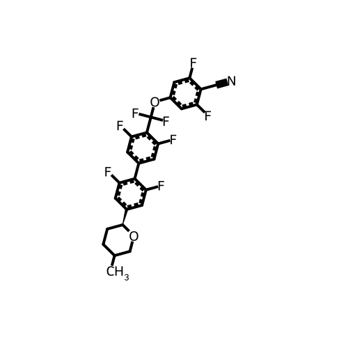 CC1CC[C@@H](c2cc(F)c(-c3cc(F)c(C(F)(F)Oc4cc(F)c(C#N)c(F)c4)c(F)c3)c(F)c2)OC1